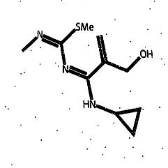 C=C(CO)/C(=N\C(=N/C)SC)NC1CC1